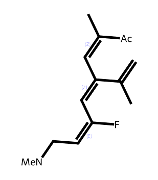 C=C(C)C(/C=C(/C)C(C)=O)=C\C(F)=C/CNC